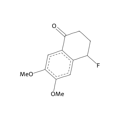 COc1cc2c(cc1OC)C(F)CCC2=O